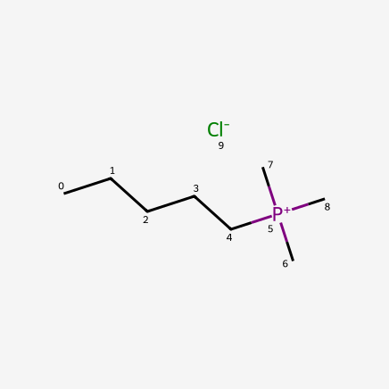 CCCCC[P+](C)(C)C.[Cl-]